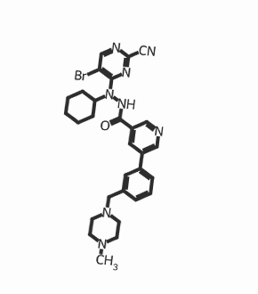 CN1CCN(Cc2cccc(-c3cncc(C(=O)NN(c4nc(C#N)ncc4Br)C4CCCCC4)c3)c2)CC1